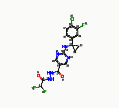 O=C(NNC(=O)C(F)F)c1cnc(NC2(c3ccc(Cl)c(F)c3)CC2)nc1